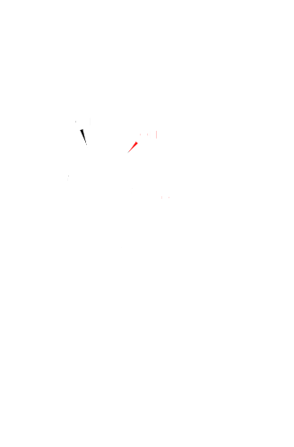 C[C@@H]1C(=O)c2cccc(OCc3ccccc3)c2C(=O)[C@@H]1O